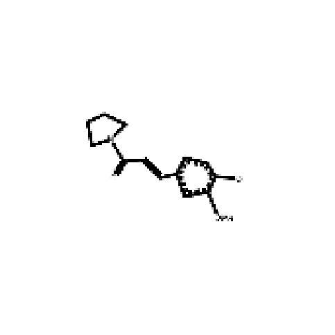 COc1cc(/C=C/C(=O)N2CCCC2)ccc1O